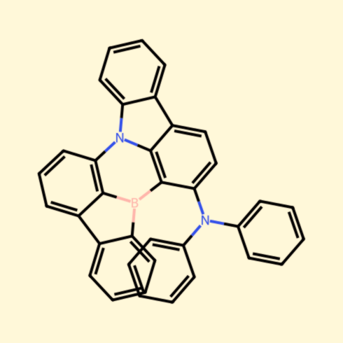 c1ccc(N(c2ccccc2)c2ccc3c4ccccc4n4c3c2B2c3ccccc3-c3cccc-4c32)cc1